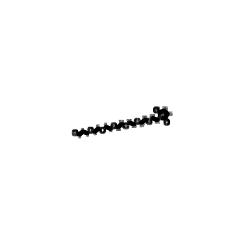 O=CCCOCCOCCOCCOCCOCCOCCN1C(=O)C=CC1=O